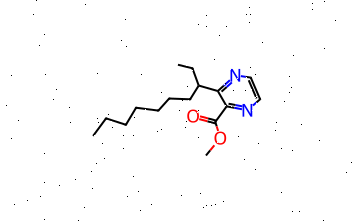 CCCCCCCC(CC)c1nccnc1C(=O)OC